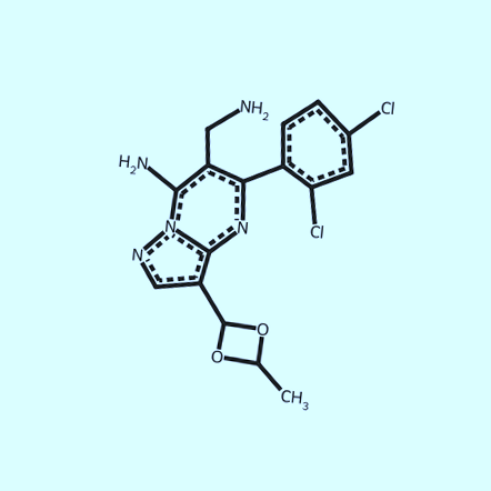 CC1OC(c2cnn3c(N)c(CN)c(-c4ccc(Cl)cc4Cl)nc23)O1